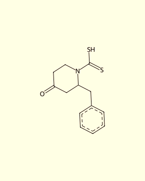 O=C1CCN(C(=S)S)C(Cc2ccccc2)C1